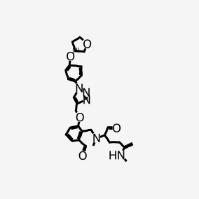 C=C(CCC(C=O)N(C)Cc1c(C=O)cccc1OCc1cn(-c2ccc(O[C@@H]3CCOC3)cc2)nn1)NC